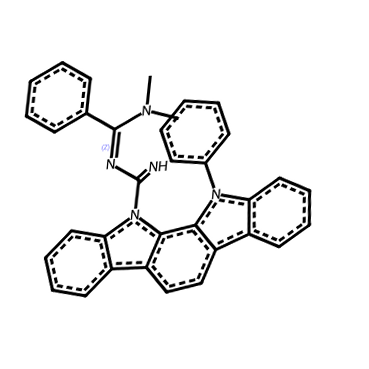 CN(C)/C(=N\C(=N)n1c2ccccc2c2ccc3c4ccccc4n(-c4ccccc4)c3c21)c1ccccc1